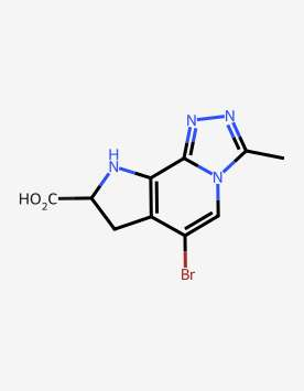 Cc1nnc2c3c(c(Br)cn12)CC(C(=O)O)N3